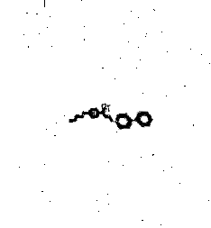 CCCCCC12CCC(C(Br)CCC[C@H]3CC[C@H](C4CCCCC4)CC3)(CC1)CC2